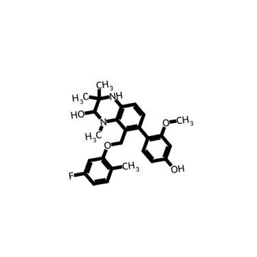 COc1cc(O)ccc1-c1ccc2c(c1COc1cc(F)ccc1C)N(C)C(O)C(C)(C)N2